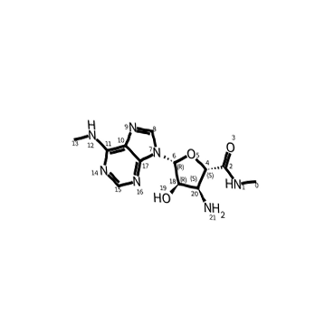 CNC(=O)[C@H]1O[C@@H](n2cnc3c(NC)ncnc32)[C@H](O)[C@@H]1N